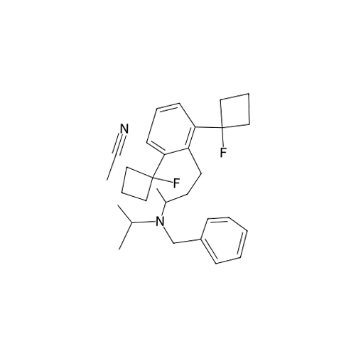 CC#N.CC(C)N(Cc1ccccc1)C(C)CCc1c(C2(F)CCC2)cccc1C1(F)CCC1